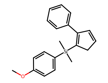 COc1ccc([Si](C)(C)C2=C(c3ccccc3)C=CC2)cc1